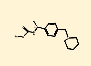 C[C@H](NC(=O)OC(C)(C)C)c1ccc(CN2CCCCC2)cc1